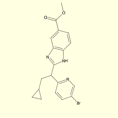 COC(=O)c1ccc2[nH]c(C(CC3CC3)c3ccc(Br)cn3)nc2c1